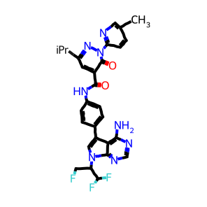 Cc1ccc(-n2nc(C(C)C)cc(C(=O)Nc3ccc(-c4cn(C(CF)C(F)F)c5ncnc(N)c45)cc3)c2=O)nc1